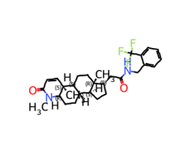 CN1C(=O)C=C[C@]2(C)[C@H]3CC[C@]4(C)[C@@H](CC(=O)NCc5ccccc5C(F)(F)F)CC[C@H]4[C@@H]3CC[C@@H]12